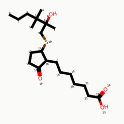 CCCC(C)(C)C(C)(O)CSC1CCC(=O)C1CCCCCCC(=O)O